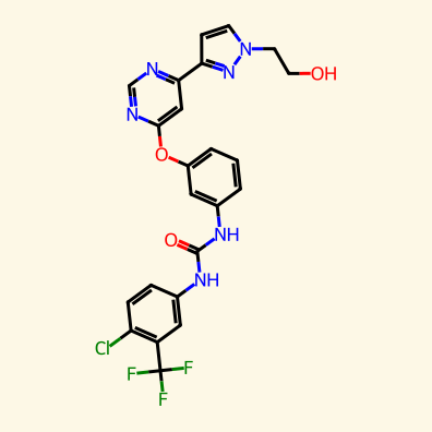 O=C(Nc1cccc(Oc2cc(-c3ccn(CCO)n3)ncn2)c1)Nc1ccc(Cl)c(C(F)(F)F)c1